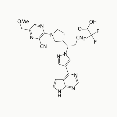 COCc1cnc(N2CC[C@H]([C@H](CC#N)n3cc(-c4ncnc5[nH]ccc45)cn3)C2)c(C#N)n1.O=C(O)C(F)(F)F